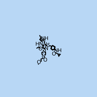 CCOc1c(Nc2cc(C)[nH]n2)nc(Sc2ccc(NC(=O)C3CC3)cc2)nc1N1CCN(C(=O)CCOC)CC1